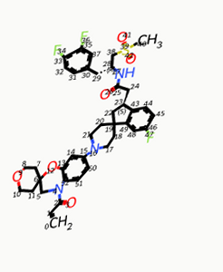 C=CC(=O)N1CC2(CCOCC2)Oc2cc(N3CCC4(CC3)C[C@@H](CC(=O)N[C@H](Cc3ccc(F)c(F)c3)CS(C)(=O)=O)c3ccc(F)cc34)ccc21